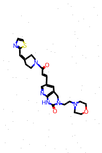 O=C(/C=C/c1cnc2c(c1)CN(CCN1CCOCC1)C(=O)N2)N1CCC(=Cc2nccs2)CC1